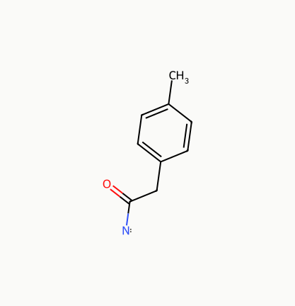 Cc1ccc(CC([N])=O)cc1